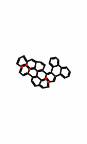 c1ccc(-c2ccc3ccccc3c2-c2c(-c3cccc4c5ccccc5c5ccccc5c34)ccc3cc4ccccc4cc23)cc1